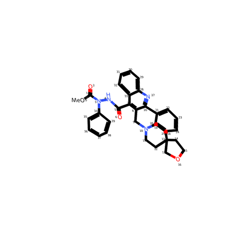 COC(=O)N(NC(=O)c1c(CN2CCC3(CCOC3)CC2)c(-c2ccccc2)nc2ccccc12)c1ccccc1